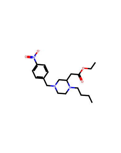 CCCCN1CCN(Cc2ccc([N+](=O)[O-])cc2)CC1CC(=O)OCC